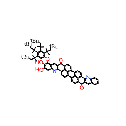 CC(C)(C)CC(C)(C)c1cc(Oc2c(O)c(O)cc3nc4c(cc23)C(=O)c2ccc3c5ccc6c7c(ccc(c8ccc-4c2c38)c75)C(=O)c2cc3ccccc3nc2-6)c(C(C)(C)CC(C)(C)C)c(C(C)(C)CC(C)(C)C)c1C(C)(C)CC(C)(C)C